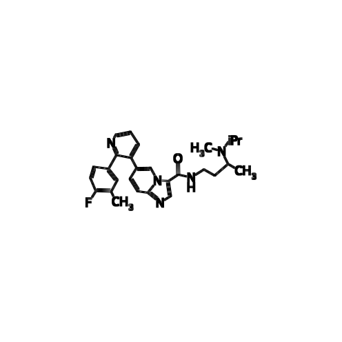 Cc1cc(-c2ncccc2-c2ccc3ncc(C(=O)NCCC(C)N(C)C(C)C)n3c2)ccc1F